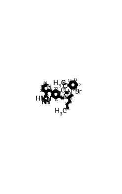 CCCCc1cn(-c2c(Br)cccc2OC)c(=O)n1Cc1ccc(-c2ncccc2-c2nnn[nH]2)cc1